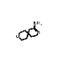 NC1=NCCC2(CCOCC2)C1